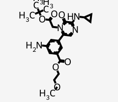 COCCOC(=O)c1cc(N)cc(-c2cnc(NC3CC3)c(=O)n2CC(=O)OC(C)(C)C)c1